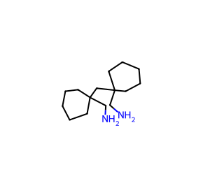 NCC1(CC2(CN)CCCCC2)CCCCC1